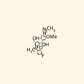 COc1cc(C(O)c2cc(CO)cn([C@@H](C)c3ccc(F)cc3)c2=O)ccc1-n1cnc(C)c1